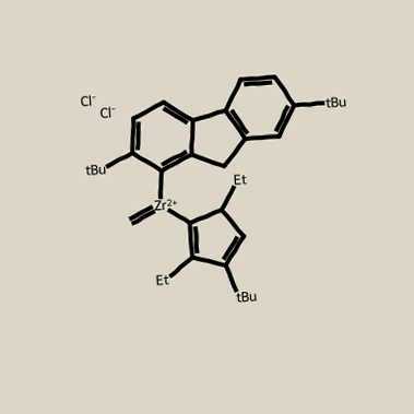 [CH2]=[Zr+2]([C]1=C(CC)C(C(C)(C)C)=CC1CC)[c]1c(C(C)(C)C)ccc2c1Cc1cc(C(C)(C)C)ccc1-2.[Cl-].[Cl-]